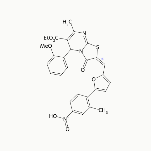 CCOC(=O)C1=C(C)N=c2s/c(=C/c3ccc(-c4ccc([N+](=O)O)cc4C)o3)c(=O)n2C1c1ccccc1OC